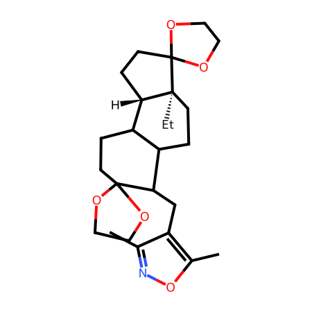 CC[C@]12CCC3C(CCC4(OCCO4)C3Cc3c(C)noc3C)[C@@H]1CCC21OCCO1